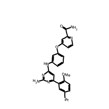 COc1ccc(C(C)C)cc1-c1cc(Nc2cccc(Oc3ccnc(C(N)=O)c3)c2)nc(N)n1